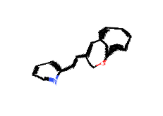 C1=C(/C=C/c2ccccn2)COc2ccccc21